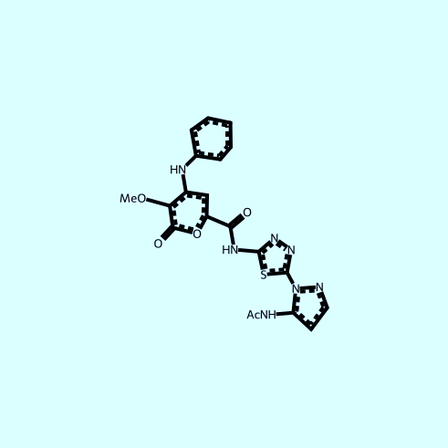 COc1c(Nc2ccccc2)cc(C(=O)Nc2nnc(-n3nccc3NC(C)=O)s2)oc1=O